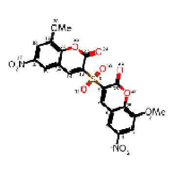 COc1cc([N+](=O)[O-])cc2cc(S(=O)(=O)c3cc4cc([N+](=O)[O-])cc(OC)c4oc3=O)c(=O)oc12